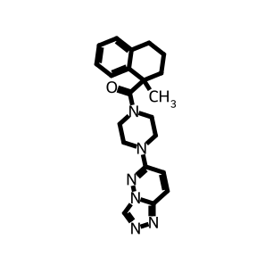 CC1(C(=O)N2CCN(c3ccc4nncn4n3)CC2)CCCc2ccccc21